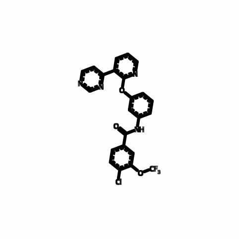 O=C(Nc1cccc(Oc2ncccc2-c2ccncn2)c1)c1ccc(Cl)c(OC(F)(F)F)c1